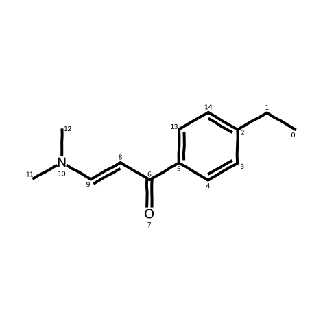 CCc1ccc(C(=O)C=CN(C)C)cc1